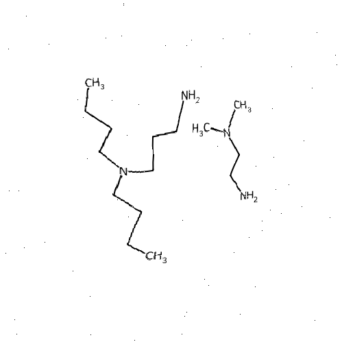 CCCCN(CCCC)CCCN.CN(C)CCN